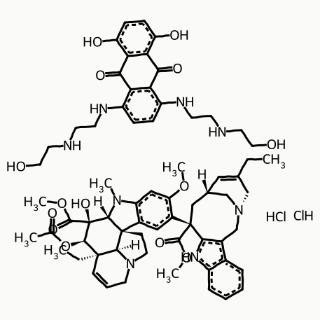 CCC1=C[C@@H]2C[N@](C1)Cc1c([nH]c3ccccc13)[C@@](C(=O)OC)(c1cc3c(cc1OC)N(C)[C@H]1[C@@](O)(C(=O)OC)[C@H](OC(C)=O)[C@]4(CC)C=CCN5CC[C@]31[C@@H]54)C2.Cl.Cl.O=C1c2c(O)ccc(O)c2C(=O)c2c(NCCNCCO)ccc(NCCNCCO)c21